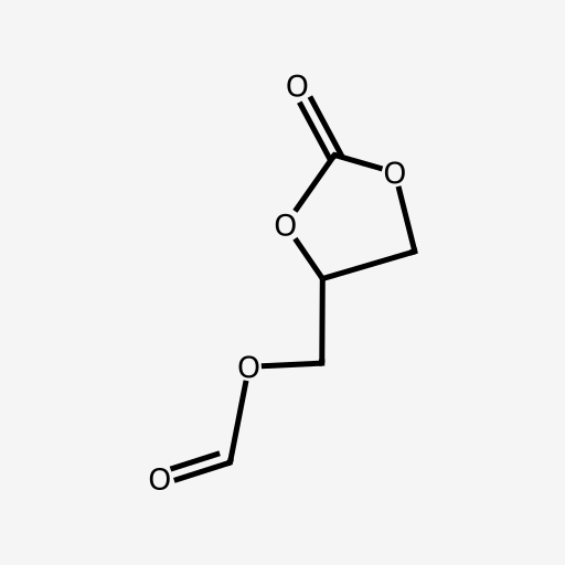 O=COCC1COC(=O)O1